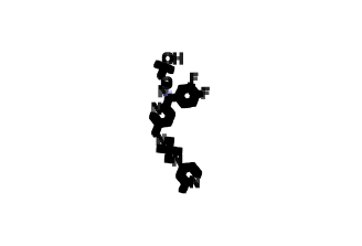 Cc1cc(N2CC3(CN(Cc4ccc(/C(=N/OCC(C)(C)O)c5ccc(F)c(F)c5)nc4)C3)C2)ccn1